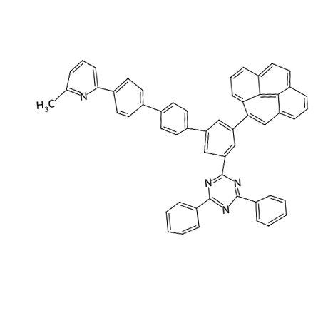 Cc1cccc(-c2ccc(-c3ccc(-c4cc(-c5nc(-c6ccccc6)nc(-c6ccccc6)n5)cc(-c5cc6cccc7ccc8cccc5c8c76)c4)cc3)cc2)n1